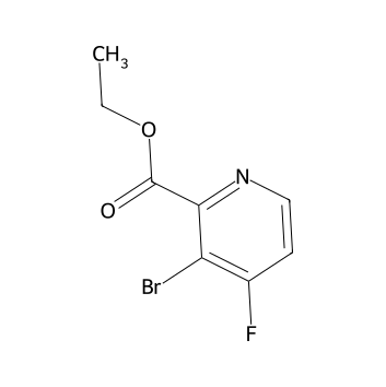 CCOC(=O)c1nccc(F)c1Br